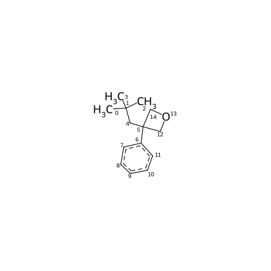 CC(C)(C)CC1(c2ccccc2)COC1